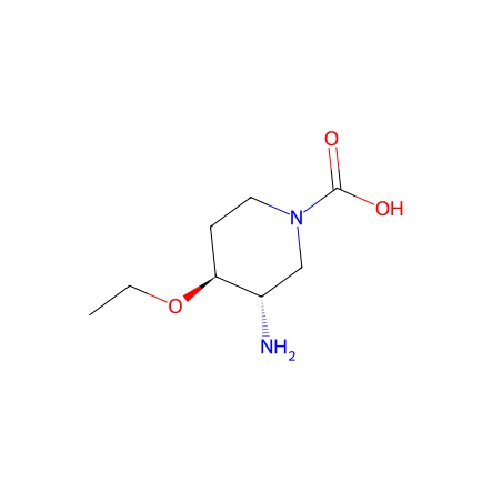 CCO[C@H]1CCN(C(=O)O)C[C@@H]1N